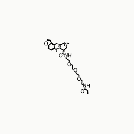 C=CC(=O)NCCOCCOCCOCCNC(=O)[C@H]1C[C@H](Cc2c(F)ccc3occc23)CN(C)C1